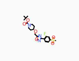 CC(C)(C)OC(=O)N1CCC(OCc2nc(-c3ccc(S(C)(=O)=O)cc3F)no2)CC1